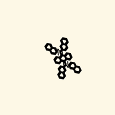 C1=CC2=CC(N(c3ccc4ccccc4c3)c3c4ccccc4c(N(c4ccc5ccccc5c4)c4ccc5ccccc5c4)c4ccccc34)=CCC2CC1